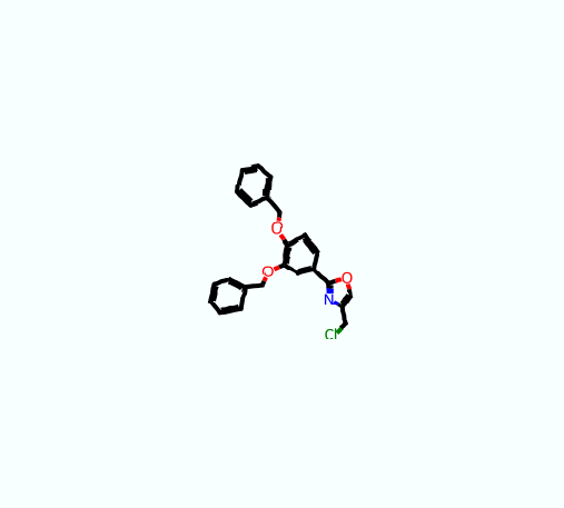 ClCc1coc(-c2ccc(OCc3ccccc3)c(OCc3ccccc3)c2)n1